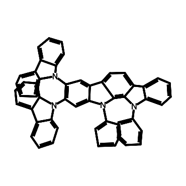 c1ccc(-n2c3ccccc3c3ccc4c5cc(-n6c7ccccc7c7ccccc76)c(-n6c7ccccc7c7ccccc76)cc5n(-c5ccccc5)c4c32)cc1